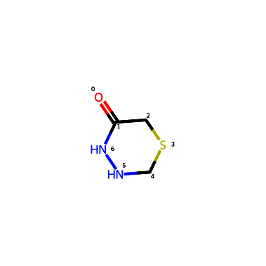 O=C1CSCNN1